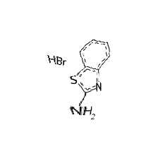 Br.Nc1nc2ccccc2s1